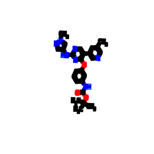 Cc1cncc(-c2cnc(Nc3cnn(C)c3)nc2Oc2cccc(NC(=O)OC(C)(C)C)c2)c1